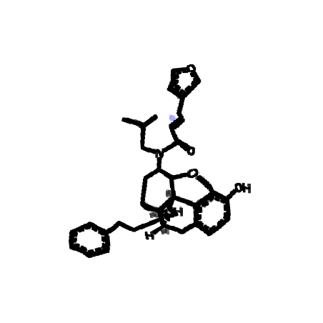 CC(C)CN(C(=O)/C=C/c1ccoc1)C1CC[C@@]2(O)[C@H]3Cc4ccc(O)c5c4[C@@]2(CCN3CCc2ccccc2)C1O5